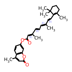 CC1=C(/C=C/C(C)=C/C=C/C(C)=C/C(=O)Oc2ccc3c(C)cc(=O)oc3c2)C(C)(C)CCC1